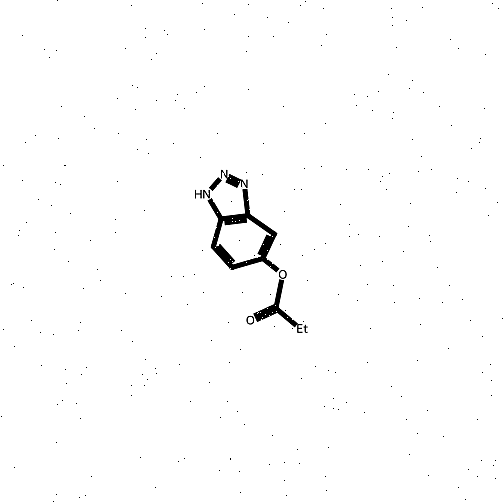 CCC(=O)Oc1ccc2[nH]nnc2c1